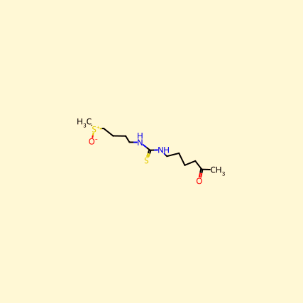 CC(=O)CCCCNC(=S)NCCCC[S+](C)[O-]